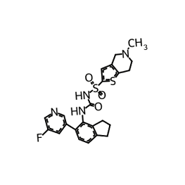 CN1CCc2sc(S(=O)(=O)NC(=O)Nc3c(-c4cncc(F)c4)ccc4c3CCC4)cc2C1